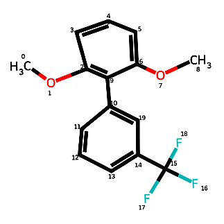 COc1c[c]cc(OC)c1-c1cccc(C(F)(F)F)c1